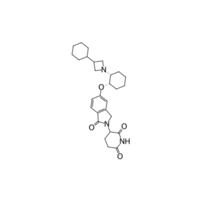 O=C1CCC(N2Cc3cc(O[C@H]4CCCC[C@H]4N4CC(C5CCCCC5)C4)ccc3C2=O)C(=O)N1